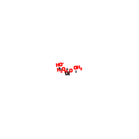 O.O.O.[Li+].[OH-]